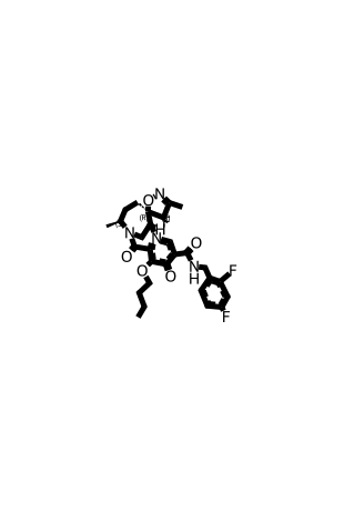 CCCCOc1c2n(cc(C(=O)NCc3ccc(F)cc3F)c1=O)[C@@H]1CN(C2=O)[C@@H](C)CC[C@@]12ON=C(C)[C@@H]2F